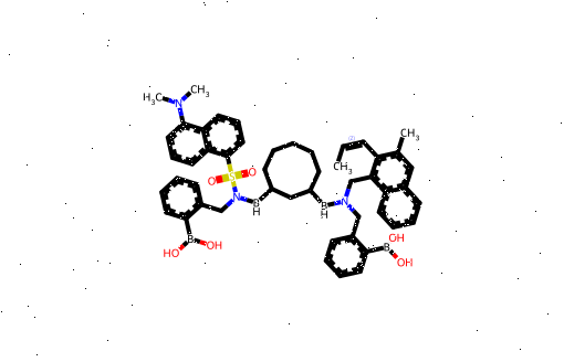 C/C=C\c1c(C)cc2ccccc2c1CN(BC1CCCCCC(BN(Cc2ccccc2B(O)O)S(=O)(=O)c2cccc3c(N(C)C)cccc23)C1)Cc1ccccc1B(O)O